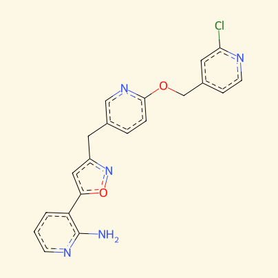 Nc1ncccc1-c1cc(Cc2ccc(OCc3ccnc(Cl)c3)nc2)no1